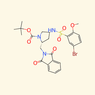 COc1ccc(Br)cc1S(=O)(=O)N[C@@H]1C[C@H](CN2C(=O)c3ccccc3C2=O)N(C(=O)OC(C)(C)C)C1